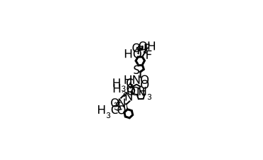 CC(C)(C)C(NC(=O)c1cc2cc(C(F)(F)P(=O)(O)O)ccc2s1)C(=O)N1CCC[C@H]1C(=O)N1CCN(S(C)(=O)=O)[C@H](c2ccccc2)C1